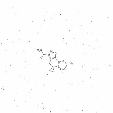 NC(=O)c1noc2c1CC1(CC1)c1ccc(Br)cc1-2